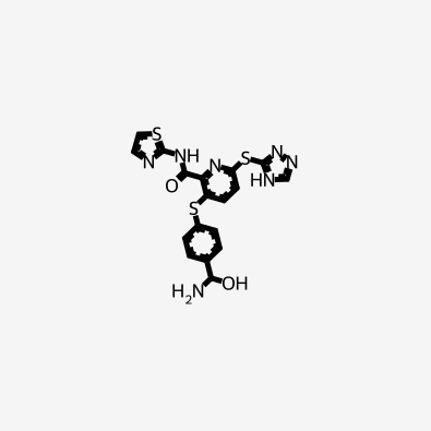 NC(O)c1ccc(Sc2ccc(Sc3nnc[nH]3)nc2C(=O)Nc2nccs2)cc1